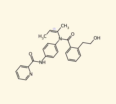 C/C=C(/C)N(C(=O)c1ccccc1CCO)c1ccc(NC(=O)c2ccccn2)cc1